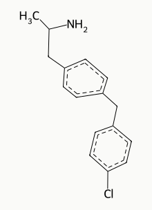 CC(N)Cc1ccc(Cc2ccc(Cl)cc2)cc1